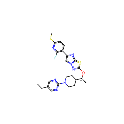 CCc1cnc(N2CCC([C@H](C)Oc3nn4cc(-c5ccc(SC)nc5F)nc4s3)CC2)nc1